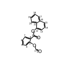 O=[C]Oc1ccccc1C(=O)Oc1cccc2ccccc12